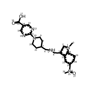 Cn1cc(CNCC2CCN(c3ncc(C(=O)O)cn3)CC2)c2cc([N+](C)=O)ccc21